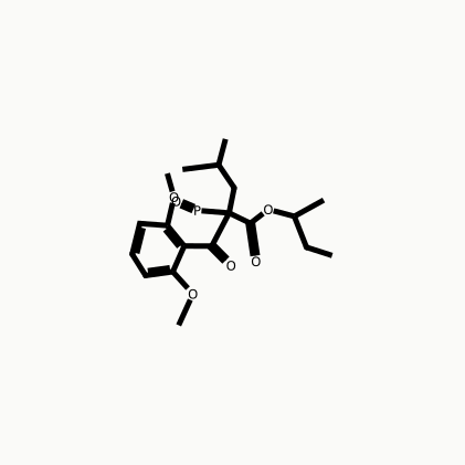 CCC(C)OC(=O)C(CC(C)C)(P=O)C(=O)c1c(OC)cccc1OC